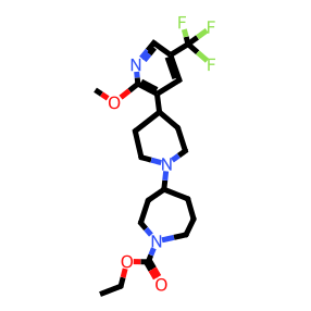 CCOC(=O)N1CCCC(N2CCC(c3cc(C(F)(F)F)cnc3OC)CC2)CC1